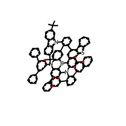 CC(C)(C)c1ccc2c3ccc(C(C)(C)C)cc3n(-c3cccc(-c4cccc5sc6ccccc6c45)c3-c3ccc4c(c3)B3c5ccc(-c6ccccc6)cc5N(c5c(-c6ccccc6)cccc5-c5ccccc5)c5cc(-c6ccccc6)cc(c53)N4c3cc(-c4ccccc4)cc(-c4ccccc4)c3)c2c1